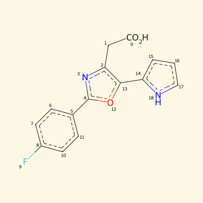 O=C(O)Cc1nc(-c2ccc(F)cc2)oc1-c1ccc[nH]1